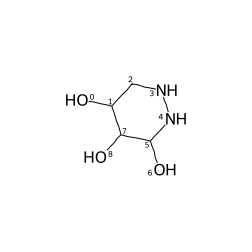 OC1CNNC(O)C1O